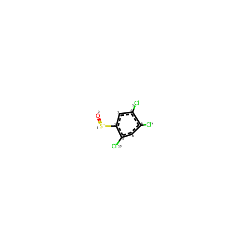 O=[S+]c1cc(Cl)c(Cl)cc1Cl